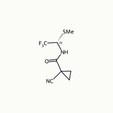 CS[C@H](NC(=O)C1(C#N)CC1)C(F)(F)F